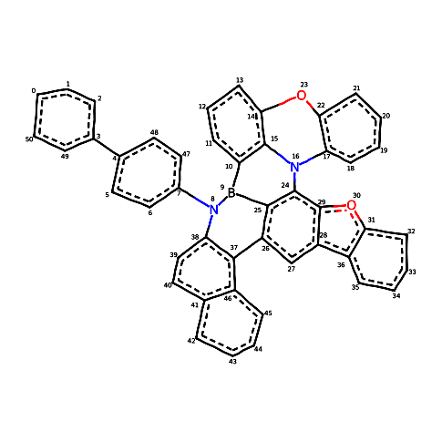 c1ccc(-c2ccc(N3B4c5cccc6c5N(c5ccccc5O6)c5c4c(cc4c5oc5ccccc54)-c4c3ccc3ccccc43)cc2)cc1